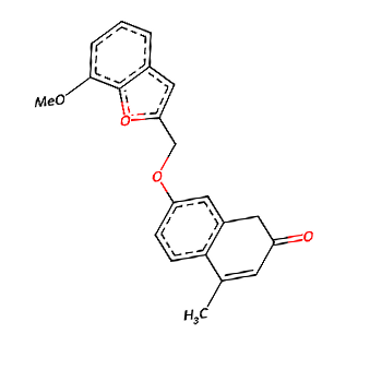 COc1cccc2cc(COc3ccc4c(c3)CC(=O)C=C4C)oc12